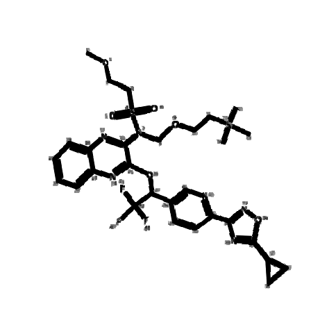 COCCS(=O)(=O)N(COCC[Si](C)(C)C)c1nc2ccccc2nc1OC(c1ccc(-c2noc(C3CC3)n2)nc1)C(F)(F)F